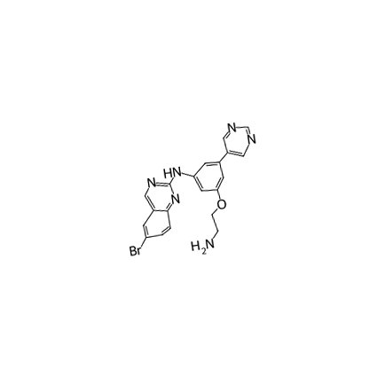 NCCOc1cc(Nc2ncc3cc(Br)ccc3n2)cc(-c2cncnc2)c1